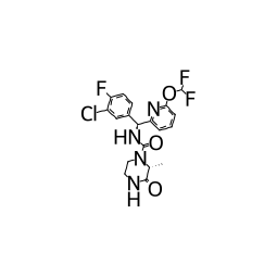 C[C@@H]1C(=O)NCCN1C(=O)N[C@@H](c1ccc(F)c(Cl)c1)c1cccc(OC(F)F)n1